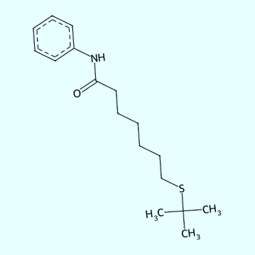 CC(C)(C)SCCCCCCC(=O)Nc1ccccc1